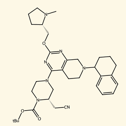 CN1CCC[C@H]1COc1nc2c(c(N3CCN(C(=O)OC(C)(C)C)[C@@H](CC#N)C3)n1)CCN(C1CCCc3ccccc31)C2